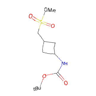 COS(=O)(=O)CC1CC(NC(=O)OC(C)(C)C)C1